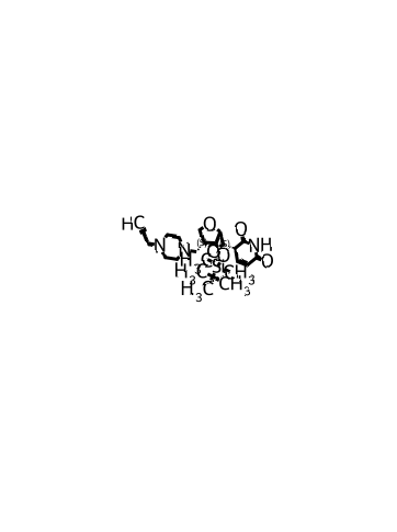 C#CCN1CCN(C[C@]23COC(C2O[Si](C)(C)C(C)(C)C)[C@H](C2C=CC(=O)NC2=O)O3)CC1